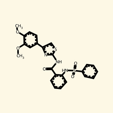 COc1ccc(-c2csc(NC(=O)c3ccccc3NS(=O)(=O)c3ccccc3)n2)cc1OC